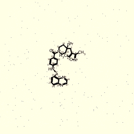 CCCC1(Cc2c(C)noc2C)CCN(C(=O)c2ccc(NSc3cccc4nccnc34)cc2)CC1